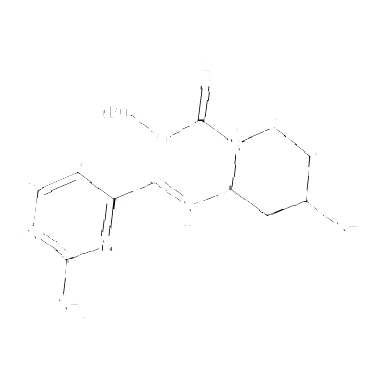 CC(C)(C)OC(=O)N1CCC(N)CC1N=Cc1ccnc(N)n1